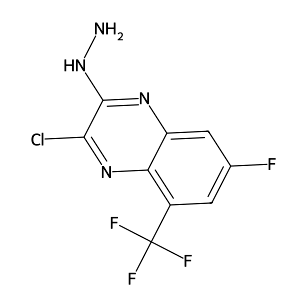 NNc1nc2cc(F)cc(C(F)(F)F)c2nc1Cl